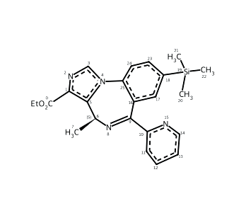 CCOC(=O)c1ncn2c1[C@H](C)N=C(c1ccccn1)c1cc([Si](C)(C)C)ccc1-2